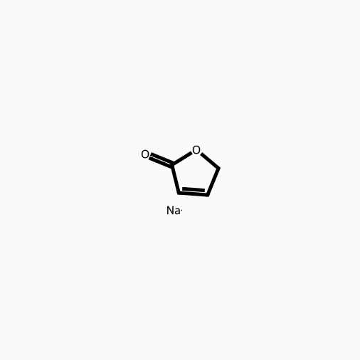 O=C1C=CCO1.[Na]